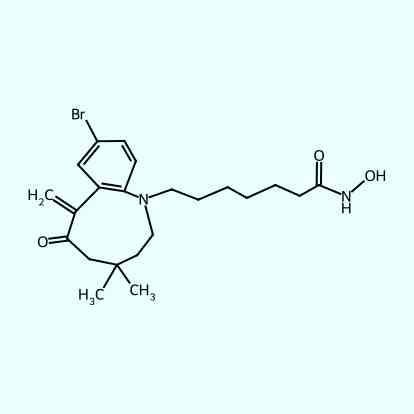 C=C1C(=O)CC(C)(C)CCN(CCCCCCC(=O)NO)c2ccc(Br)cc21